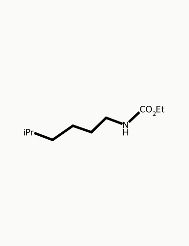 CCOC(=O)NCCCCC(C)C